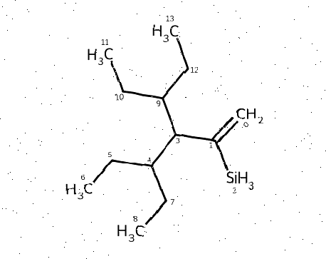 C=C([SiH3])C(C(CC)CC)C(CC)CC